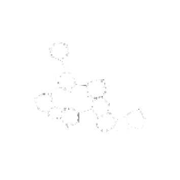 C1=CCC2Oc3ccc4c(-c5ccc6oc7cccc(-c8nc(-c9ccccc9)nc(-c9ccccc9)n8)c7c6c5)cccc4c3C2=C1